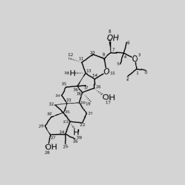 CC(C)OC(C)(C)[C@H](O)C1C[C@@H](C)[C@H]2C(O1)[C@H](O)[C@@]1(C)C3CC[C@H]4C(C)(C)C(O)CCC45CC35CCC21C